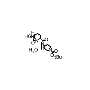 CC(C)(C)OC(=O)N1CCC(NC(=O)[C@@H]2CC[C@@H]3CN2C(=O)N3O)CC1.O